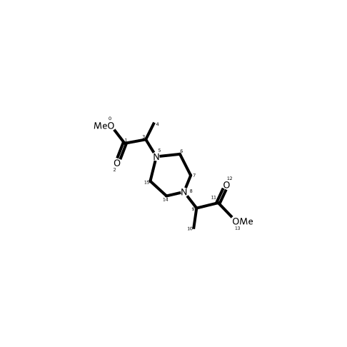 COC(=O)C(C)N1CCN(C(C)C(=O)OC)CC1